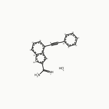 Cl.N=C(N)c1cc2c(C#Cc3ccccc3)cccc2s1